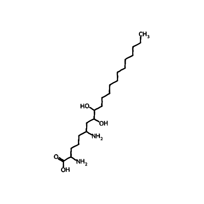 CCCCCCCCCCCCC(O)C(O)CC(N)CCCC(N)C(=O)O